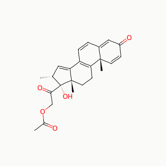 CC(=O)OCC(=O)[C@@]1(O)[C@H](C)C=C2C3=C(CC[C@@]21C)[C@@]1(C)C=CC(=O)C=C1C=C3